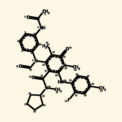 CC(=O)Nc1cccc(N(C=O)c2c(C(=O)N(C)C3CCCC3)c(Nc3ccc(C)cc3F)n(C)c(=O)c2C)c1